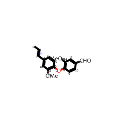 C/C=C/c1ccc(Oc2ccc(C=O)cc2OC)c(OC)c1